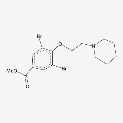 COC(=O)c1cc(Br)c(OCCN2CCCCC2)c(Br)c1